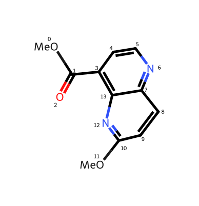 COC(=O)c1ccnc2ccc(OC)nc12